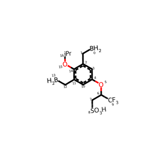 BCc1cc(OC(CS(=O)(=O)O)C(F)(F)F)cc(CB)c1OC(C)C